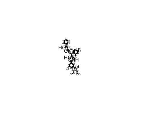 CCCN(CCC)C(=O)c1cc(C)cc(C(=O)N[C@@H](Cc2cc(F)cc(F)c2)[C@H](O)CCNC(=O)C[C@@H](O)c2ccccc2)c1